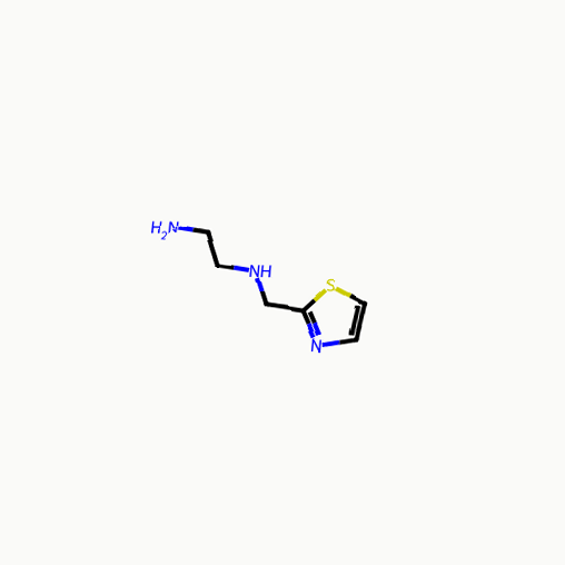 NCCNCc1nccs1